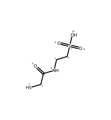 O=C(CS)NCCS(=O)(=O)O